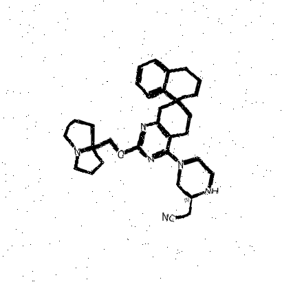 N#CC[C@H]1CN(c2nc(OCC34CCCN3CCC4)nc3c2CCC2(CCCc4ccccc42)C3)CCN1